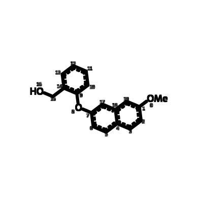 COc1ccc2ccc(Oc3ccccc3CO)cc2c1